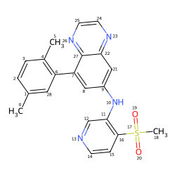 Cc1ccc(C)c(-c2cc(Nc3cnccc3S(C)(=O)=O)cc3nccnc23)c1